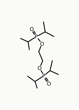 CC(C)P(=O)(OCCOP(=O)(C(C)C)C(C)C)C(C)C